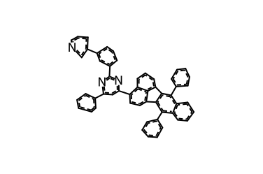 c1ccc(-c2cc(-c3ccc4c5c(cccc35)-c3c-4c(-c4ccccc4)c4ccccc4c3-c3ccccc3)nc(-c3cccc(-c4cccnc4)c3)n2)cc1